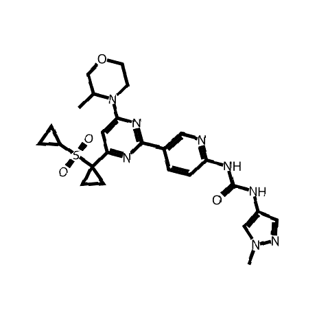 CC1COCCN1c1cc(C2(S(=O)(=O)C3CC3)CC2)nc(-c2ccc(NC(=O)Nc3cnn(C)c3)nc2)n1